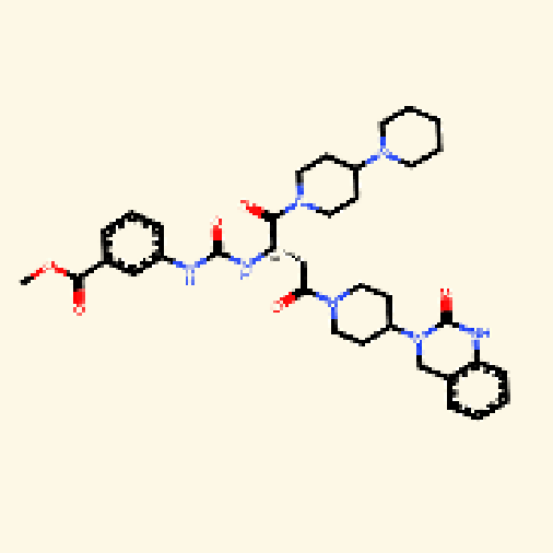 COC(=O)c1cccc(NC(=O)N[C@@H](CC(=O)N2CCC(N3Cc4ccccc4NC3=O)CC2)C(=O)N2CCC(N3CCCCC3)CC2)c1